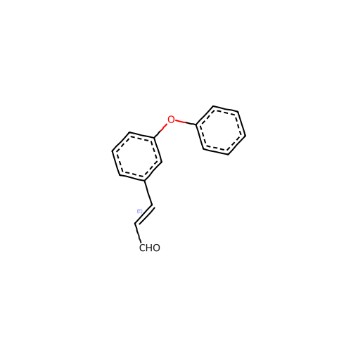 O=C/C=C/c1cccc(Oc2ccccc2)c1